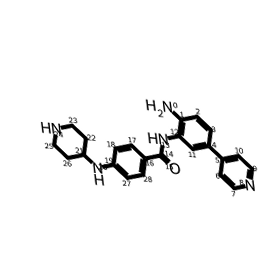 Nc1ccc(-c2ccncc2)cc1NC(=O)c1ccc(NC2CCNCC2)cc1